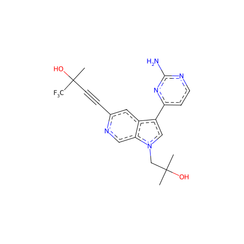 CC(C)(O)Cn1cc(-c2ccnc(N)n2)c2cc(C#CC(C)(O)C(F)(F)F)ncc21